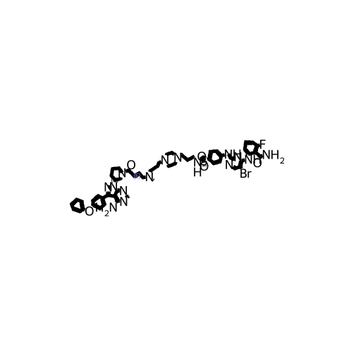 CN(C/C=C/C(=O)N1CCC[C@@H](n2nc(-c3ccc(Oc4ccccc4)cc3)c3c(N)ncnc32)C1)CCCN1CCN(CCCNS(=O)(=O)c2ccc(Nc3ncc(Br)c(Nc4cccc(F)c4C(N)=O)n3)cc2)CC1